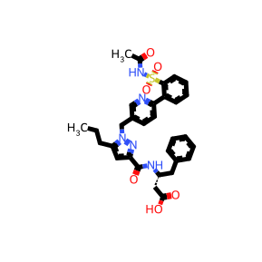 CCCc1cc(C(=O)N[C@@H](CC(=O)O)Cc2ccccc2)nn1Cc1ccc(-c2ccccc2S(=O)(=O)NC(C)=O)nc1